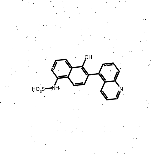 O=S(=O)(O)Nc1cccc2c(O)c(-c3cccc4ncccc34)ccc12